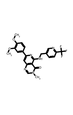 COc1ccc(-c2cc3ncn(C)c(=O)c3c(NCc3ccc(C(F)(F)F)nc3)n2)cc1OC